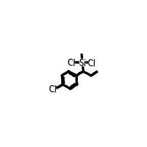 CCC(c1ccc(Cl)cc1)[Si](C)(Cl)Cl